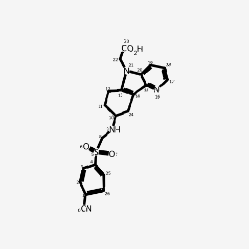 N#Cc1ccc(S(=O)(=O)CNC2CCc3c(c4ncccc4n3CC(=O)O)C2)cc1